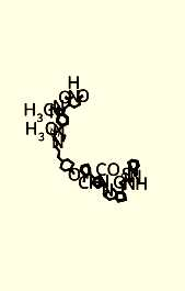 Cc1c(OC2CCC(CCCN3CCN(c4ccc5c(C6CCC(=O)NC6=O)nn(C)c5c4)[C@@H](C)C3)CC2)cccc1-c1ccc(N2CCc3cccc(C(=O)Nc4nc5ccccc5s4)c3C2)nc1C(=O)O